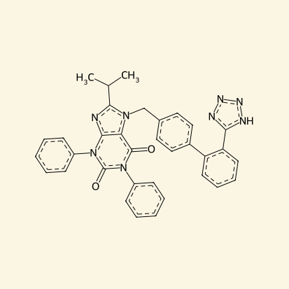 CC(C)c1nc2c(c(=O)n(-c3ccccc3)c(=O)n2-c2ccccc2)n1Cc1ccc(-c2ccccc2-c2nnn[nH]2)cc1